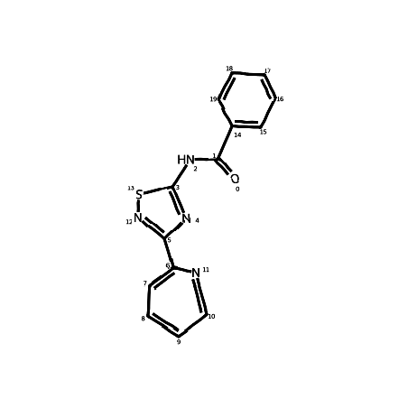 O=C(Nc1nc(-c2ccccn2)ns1)c1ccccc1